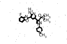 CN1CCC(n2cc(-c3cnc(N)c(-c4nc5c(F)cccc5o4)c3)c(C(=O)N(C)C)n2)CC1